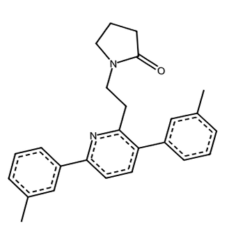 Cc1cccc(-c2ccc(-c3cccc(C)c3)c(CCN3CCCC3=O)n2)c1